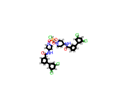 O=C(NC1CCN(OP(=O)(Cl)ON2CCC(NC(=O)c3cccc(-c4cc(Cl)cc(Cl)c4)c3)CC2)CC1)c1cccc(-c2cc(Cl)cc(Cl)c2)c1